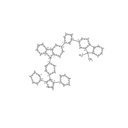 CC1(C)c2ccccc2-c2ccc(-c3cccc(-c4ccc5c(c4)c4ccccc4n5-c4ccc(-n5c(-c6ccccc6)nnc5-c5ccccc5)cc4)c3)cc21